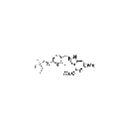 COCc1nn(Cc2ccc(N3CC(C)C(F)(F)C3)nc2C)cc1C(=O)OC